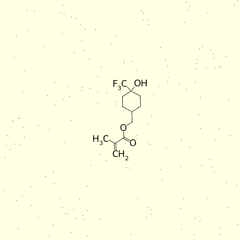 C=C(C)C(=O)OCC1CCC(O)(C(F)(F)F)CC1